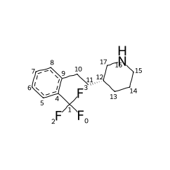 FC(F)(F)c1ccccc1CC[C@H]1CCCNC1